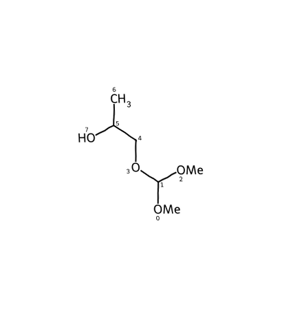 COC(OC)OCC(C)O